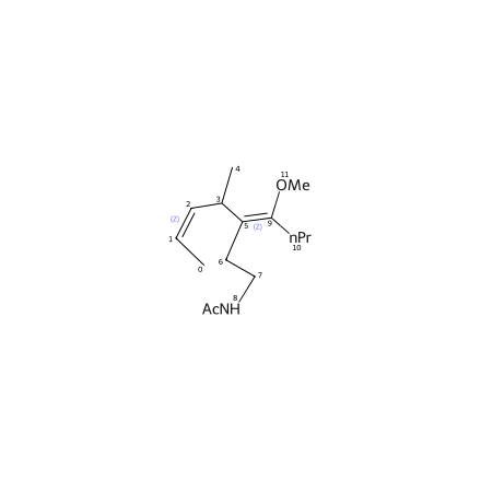 C/C=C\C(C)/C(CCNC(C)=O)=C(/CCC)OC